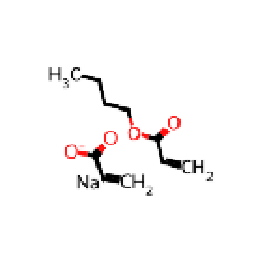 C=CC(=O)OCCCC.C=CC(=O)[O-].[Na+]